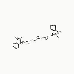 Cc1n(C)c2ccccc2[n+]1CCOCCOCCOCC[n+]1c(C)n(C)c2ccccc21